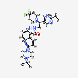 CC(C)c1ncc(C(CNC(=O)c2cccc3nc(N4CCN(C(C)C)CC4)ccc23)N2CCC(F)(F)CC2)cn1